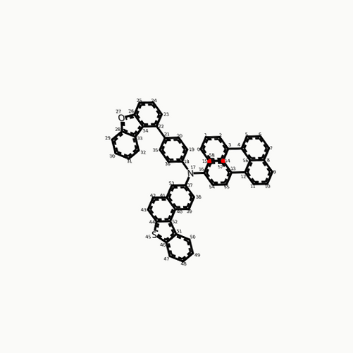 c1ccc(-c2cccc3cccc(-c4ccc(N(c5ccc(-c6cccc7oc8ccccc8c67)cc5)c5ccc6c(ccc7sc8ccccc8c76)c5)cc4)c23)cc1